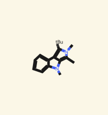 Cc1c2c(c(C(C)(C)C)n1C)c1ccccc1n2C